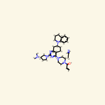 C=CC(=O)N1CCN(c2nc(N3CC[C@H](N(C)C)C3)nc3c2CC[C@H](N2CCCc4ccccc42)C3)C[C@@H]1CC#N